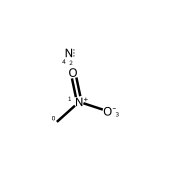 C[N+](=O)[O-].[N]